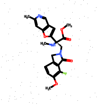 CN[C@](CN1Cc2ccc(OC)c(F)c2C1=O)(C(=O)OC)c1cc2cnc(C)cc2o1